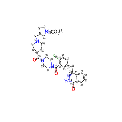 O=C(O)N1CCC(CN2CCC(C(=O)N3CCN(C(=O)c4cc(Cc5n[nH]c(=O)c6ccccc56)ccc4F)CC3)CC2)C1